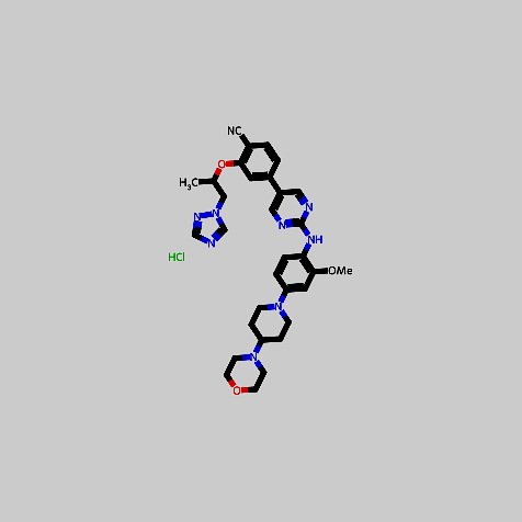 COc1cc(N2CCC(N3CCOCC3)CC2)ccc1Nc1ncc(-c2ccc(C#N)c(OC(C)Cn3cncn3)c2)cn1.Cl